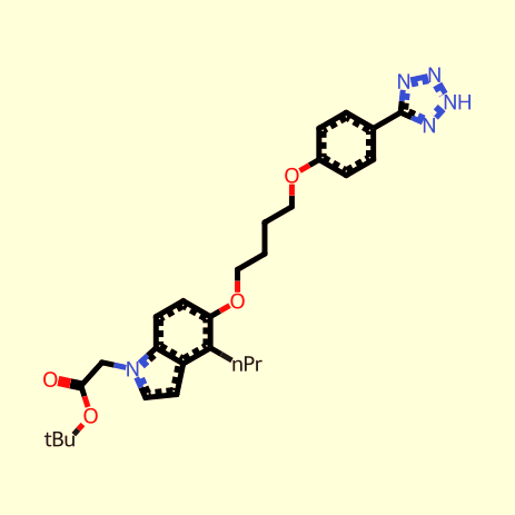 CCCc1c(OCCCCOc2ccc(-c3nn[nH]n3)cc2)ccc2c1ccn2CC(=O)OC(C)(C)C